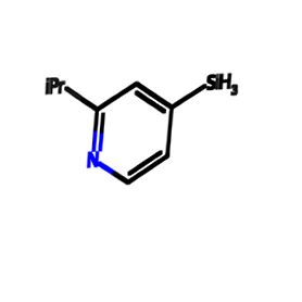 CC(C)c1cc([SiH3])ccn1